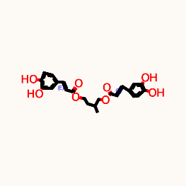 CC(CCOC(=O)/C=C/c1ccc(O)c(O)c1)COC(=O)/C=C/c1ccc(O)c(O)c1